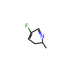 CC1CC=C(F)C=N1